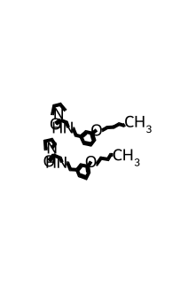 CCCCCCOc1cccc(CCNCC(=O)N2CCCC2)c1.CCCCCOc1cccc(CCNCC(=O)N2CCCC2)c1